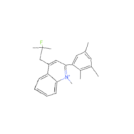 Cc1cc(C)c(C)c(-c2cc(CC(C)(C)F)c3ccccc3[n+]2C)c1